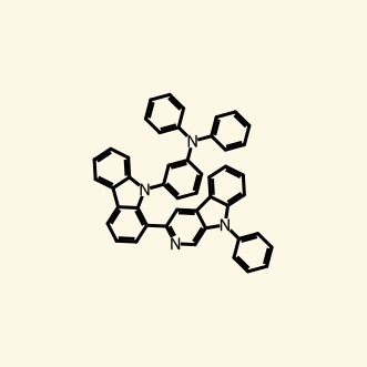 c1ccc(N(c2ccccc2)c2cccc(-n3c4ccccc4c4cccc(-c5cc6c7ccccc7n(-c7ccccc7)c6cn5)c43)c2)cc1